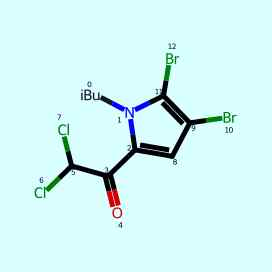 CCC(C)n1c(C(=O)C(Cl)Cl)cc(Br)c1Br